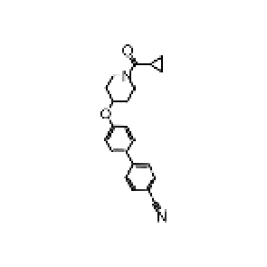 N#Cc1ccc(-c2ccc(OC3CCN(C(=O)C4CC4)CC3)cc2)cc1